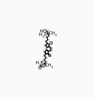 CC(C)(CO)CCCCC1=CC=C(/C=C\C2=CC=C(CCCCC(C)(C)OC=O)C2=O)C1=O